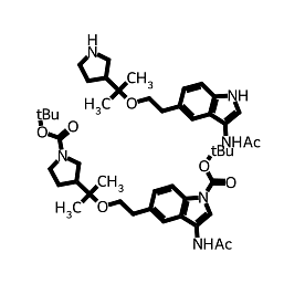 CC(=O)Nc1c[nH]c2ccc(CCOC(C)(C)C3CCNC3)cc12.CC(=O)Nc1cn(C(=O)OC(C)(C)C)c2ccc(CCOC(C)(C)C3CCN(C(=O)OC(C)(C)C)C3)cc12